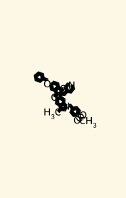 Cc1cn(Cc2ccc(S(C)(=O)=O)cc2)c2cc(C3(Cc4ccncc4)C(=O)c4ccc(OCc5ccccc5)cc4C3=O)ccc12